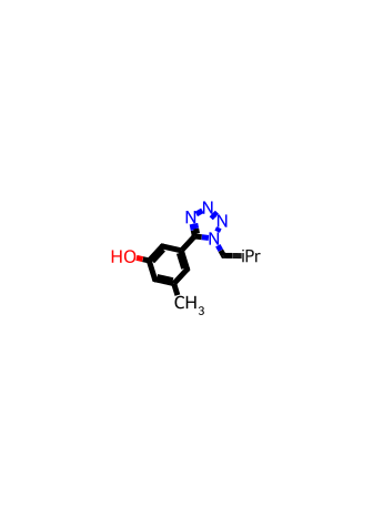 Cc1cc(O)cc(-c2nnnn2CC(C)C)c1